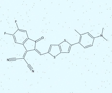 Cc1cc(N(C)C)ccc1-c1cc2sc(/C=C3\C(=O)c4cc(F)c(F)cc4C3=C(C#N)C#N)cc2s1